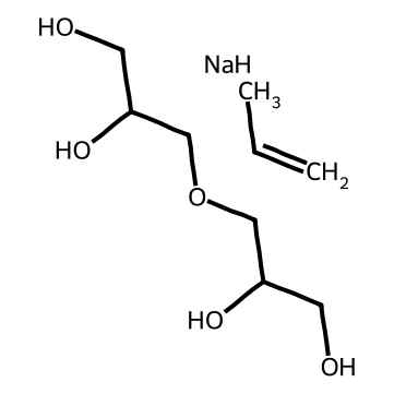 C=CC.OCC(O)COCC(O)CO.[NaH]